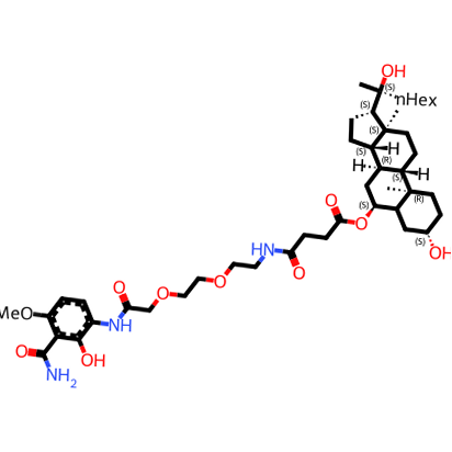 CCCCCC[C@](C)(O)[C@H]1CC[C@H]2[C@@H]3C[C@H](OC(=O)CCC(=O)NCCOCCOCC(=O)Nc4ccc(OC)c(C(N)=O)c4O)C4C[C@@H](O)CC[C@]4(C)[C@H]3CC[C@@]21C